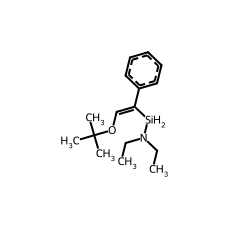 CCN(CC)[SiH2]C(=COC(C)(C)C)c1ccccc1